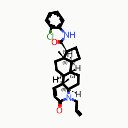 C=CCN1C(=O)C=C[C@]2(C)[C@H]3CC[C@]4(C)[C@@H](C(=O)Nc5ccccc5Cl)CC[C@H]4[C@@H]3CC[C@@H]12